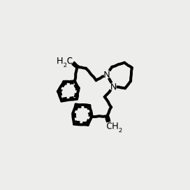 C=C(CCN1CCCCCN1CCC(=C)c1ccccc1)c1ccccc1